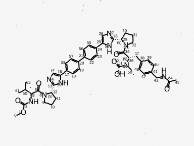 COC(=O)N[C@H](C(=O)N1CCC[C@H]1c1ncc(-c2ccc(-c3ccc(-c4cnc([C@@H]5CCCN5C(=O)[C@H](Cc5ccc(CNC(C)=O)cc5)N(C)C(=O)O)[nH]4)cc3)cc2)[nH]1)C(C)C